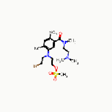 CN(C)CCN(C)C(=O)c1cc(N(CCBr)CCOS(C)(=O)=O)c(C#N)cc1[N+](=O)[O-]